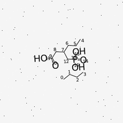 CCCC.CCCC(CC(=O)O)CP(=O)(O)O